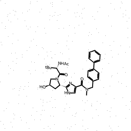 CC(=O)N[C@H](C(=O)N1C[C@H](O)C[C@H]1c1nc(C(=O)N(C)Cc2ccc(-c3ccccc3)cc2)c[nH]1)C(C)(C)C